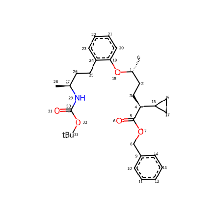 C[C@H](CC[C@H](C(=O)OCc1ccccc1)C1CC1)Oc1ccccc1CC[C@H](C)NC(=O)OC(C)(C)C